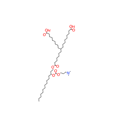 CCCCCCCCCCCCC(CCOC(=O)CCCCCCC(CCCCCCCCC(=O)O)CCCCCCCCC(=O)O)OC(=O)OCCCN(C)C